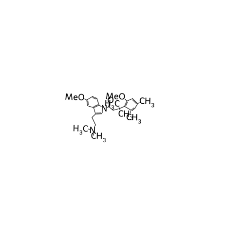 COc1ccc2c(c1)c(CCN(C)C)cn2C(=O)CC(C)(C)c1c(C)cc(C)cc1OC